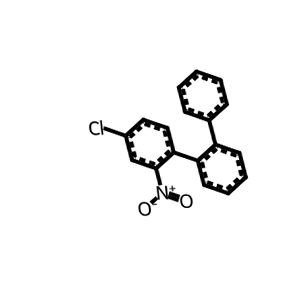 O=[N+]([O-])c1cc(Cl)ccc1-c1ccccc1-c1ccccc1